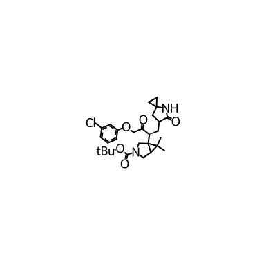 CC(C)(C)OC(=O)N1CC2C(C)(C)C2([C@H](CC2CC3(CC3)NC2=O)C(=O)COc2cccc(Cl)c2)C1